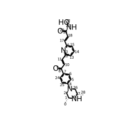 C[C@@H]1CN(c2ccc(C(=O)/C=C/c3cccc(/C=C/C(=O)NO)n3)cc2)C[C@H](C)N1